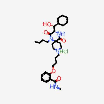 CCCCN1C(=O)[C@@H]([C@H](O)C2CCCCC2)NC(=O)C12CCN(CCCCOc1ccccc1C(=O)NC)CC2.Cl